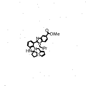 COC(=O)c1ccc2c(c1)nc(-c1cccc3c1N(Cc1cccs1)C1(CCCC1)N3)n2CC(C)C